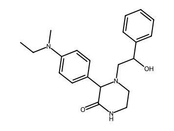 CCN(C)c1ccc(C2C(=O)NCCN2CC(O)c2ccccc2)cc1